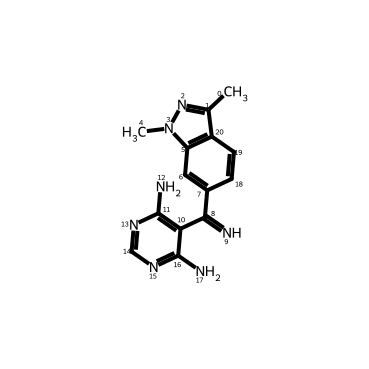 Cc1nn(C)c2cc(C(=N)c3c(N)ncnc3N)ccc12